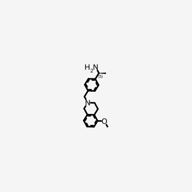 COc1cccc2c1CCN(Cc1ccc([C@H](C)N)cc1)C2